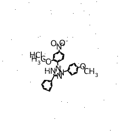 COc1ccc(N2N=C(c3ccccc3)NN2c2ccc([N+](=O)[O-])cc2OC)cc1.Cl